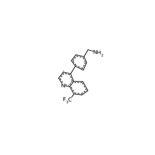 NCc1ccc(-c2[c]cnc3c(C(F)(F)F)cccc23)cc1